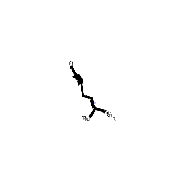 CCC#CC/C=C(/N)C(C)CC